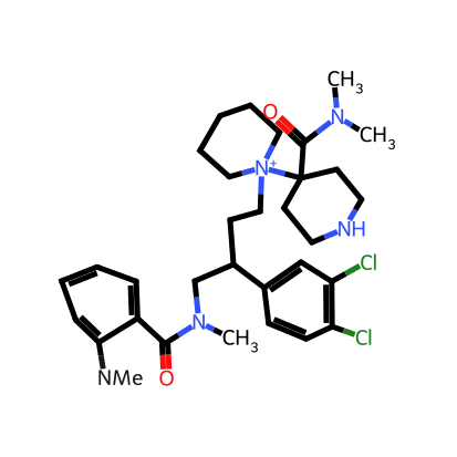 CNc1ccccc1C(=O)N(C)CC(CC[N+]1(C2(C(=O)N(C)C)CCNCC2)CCCCC1)c1ccc(Cl)c(Cl)c1